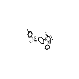 Cc1ccc(S(=O)(=O)O[C@H]2CC[C@H](N3C(=O)OC(C)(C)[C@@H]3c3ccccc3)CC2)cc1